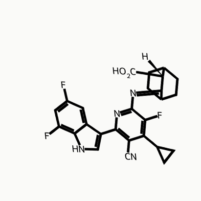 N#Cc1c(-c2c[nH]c3c(F)cc(F)cc23)nc(/N=C2\C3CCC(CC3)[C@H]2C(=O)O)c(F)c1C1CC1